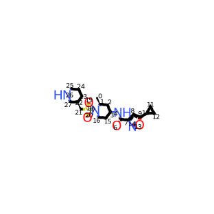 C[C@H]1C[C@@H](NC(=O)c2cc(C3CC3)on2)CCN1S(=O)(=O)C[C@@H]1CCCNC1